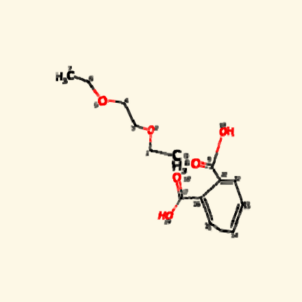 CCOCCOCC.O=C(O)c1ccccc1C(=O)O